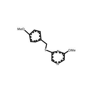 COc1ccc(CSc2cncc(OC)n2)cc1